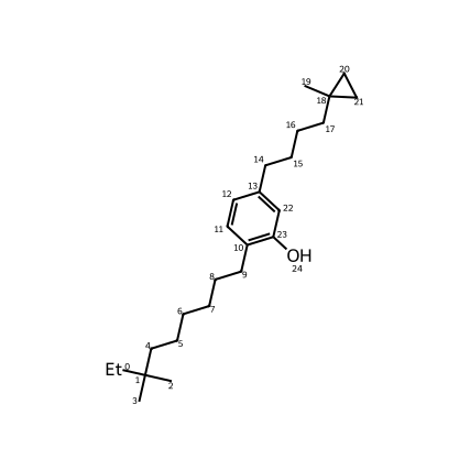 CCC(C)(C)CCCCCCc1ccc(CCCCC2(C)CC2)cc1O